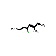 C=C/C(C)=C/C(Cl)CCC